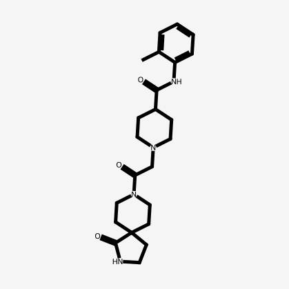 Cc1ccccc1NC(=O)C1CCN(CC(=O)N2CCC3(CCNC3=O)CC2)CC1